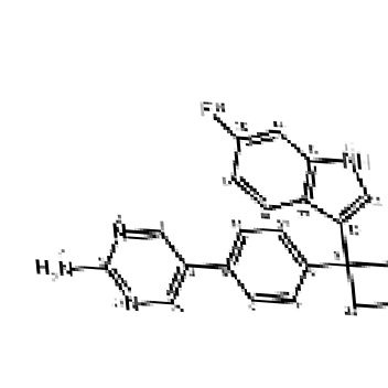 Nc1ncc(-c2ccc(C3(c4c[nH]c5cc(F)ccc45)CCC3)cc2)cn1